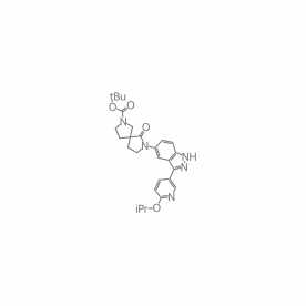 CC(C)Oc1ccc(-c2n[nH]c3ccc(N4CCC5(CCN(C(=O)OC(C)(C)C)C5)C4=O)cc23)cn1